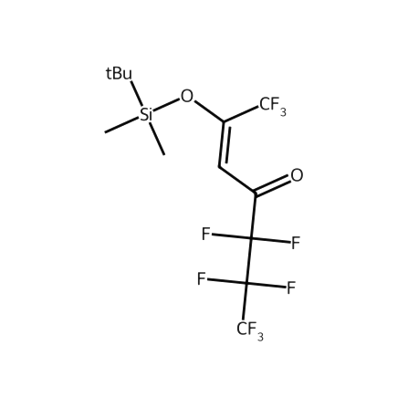 CC(C)(C)[Si](C)(C)OC(=CC(=O)C(F)(F)C(F)(F)C(F)(F)F)C(F)(F)F